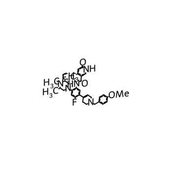 COc1ccc(CN2CC=C(c3cc(NC(=O)c4c[nH]c(=O)cc4C(F)(F)F)c(N4CC(C)N(C)C(C)C4)cc3F)CC2)cc1